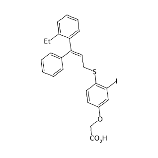 CCc1ccccc1C(=CCSc1ccc(OCC(=O)O)cc1I)c1ccccc1